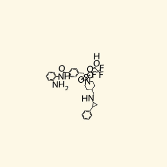 Nc1ccccc1NC(=O)c1ccc(CS(=O)(=O)N2CCC(CNC3CC3c3ccccc3)CC2)cc1.O=C(O)C(F)(F)F